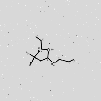 CCCOC(CC(F)(F)F)OCCC